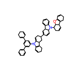 C1=CC(c2cc(-c3ccccc3)cc(N3C4=CCC(C5=CC6c7ccccc7N(C7CC=CC8C9=C(C=CCC9)OC87)C6C=C5)CC4C4=C3C=CCC4)c2)=CCC1